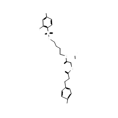 Cc1ccc(CCC(=O)N[C@@H](CC(C)C)C(=O)NCCCCNS(=O)(=O)c2ccc(F)cc2Cl)cc1